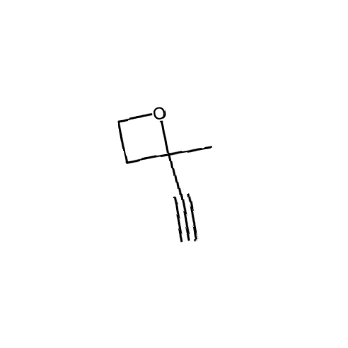 [C]#CC1(C)CCO1